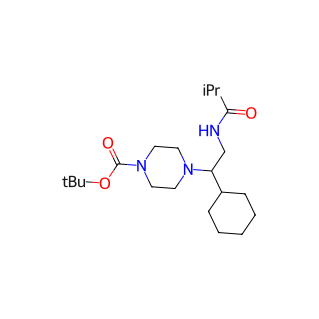 CC(C)C(=O)NCC(C1CCCCC1)N1CCN(C(=O)OC(C)(C)C)CC1